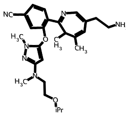 CC1=CC(CCN)=CN=C(c2ccc(C#N)cc2Oc2cc(N(C)CCOC(C)C)nn2C)C1C